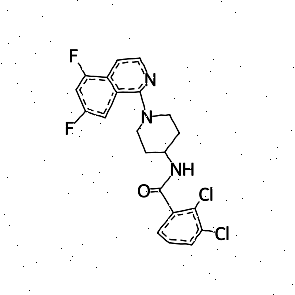 O=C(NC1CCN(c2nccc3c(F)cc(F)cc23)CC1)c1cccc(Cl)c1Cl